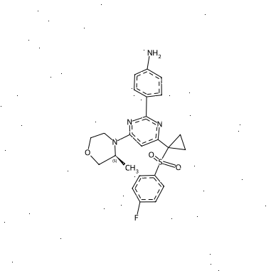 C[C@H]1COCCN1c1cc(C2(S(=O)(=O)c3ccc(F)cc3)CC2)nc(-c2ccc(N)cc2)n1